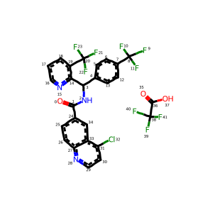 O=C(NC(c1ccc(C(F)(F)F)cc1)c1ncccc1C(F)(F)F)c1ccc2nccc(Cl)c2c1.O=C(O)C(F)(F)F